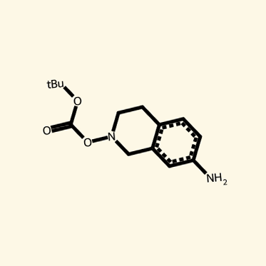 CC(C)(C)OC(=O)ON1CCc2ccc(N)cc2C1